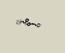 CN(C)CCC(Oc1ccc(C#CCCN2CCOCC2)cc1)c1ccccc1